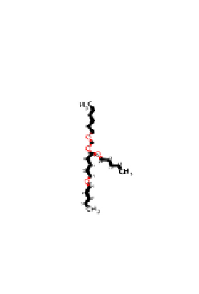 CCCCCCOCOC(CCCCOCCCCC)OCCCCC